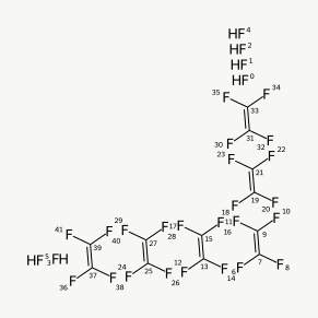 F.F.F.F.F.F.FC(F)=C(F)F.FC(F)=C(F)F.FC(F)=C(F)F.FC(F)=C(F)F.FC(F)=C(F)F.FC(F)=C(F)F